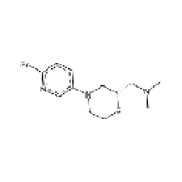 CC(C)c1ccc(N2CCO[C@@H](CN(C)C)C2)cn1